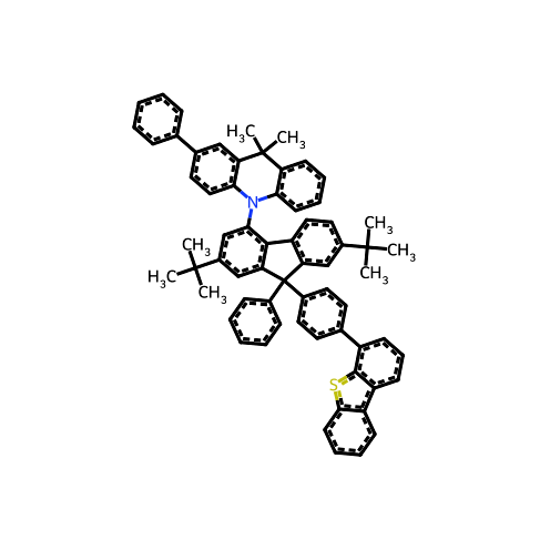 CC(C)(C)c1ccc2c(c1)C(c1ccccc1)(c1ccc(-c3cccc4c3sc3ccccc34)cc1)c1cc(C(C)(C)C)cc(N3c4ccccc4C(C)(C)c4cc(-c5ccccc5)ccc43)c1-2